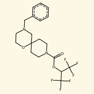 O=C(OC(C(F)(F)F)C(F)(F)F)N1CCC2(CC1)CN(Cc1ccccc1)CCO2